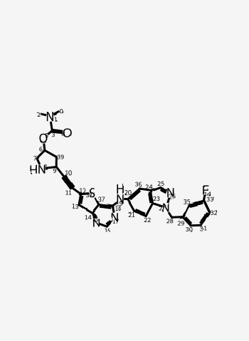 CN(C)C(=O)OC1CNC(C#Cc2cc3ncnc(Nc4ccc5c(cnn5Cc5cccc(F)c5)c4)c3s2)C1